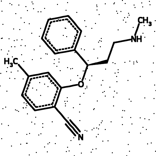 CNCC[C@@H](Oc1cc(C)ccc1C#N)c1ccccc1